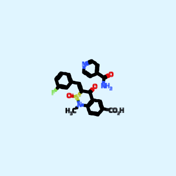 CN1c2ccc(C(=O)O)cc2C(=O)/C(=C/c2cccc(F)c2)[S+]1[O-].NC(=O)c1ccncc1